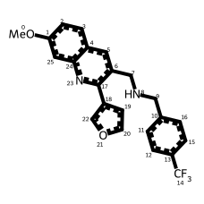 COc1ccc2cc(CNCc3ccc(C(F)(F)F)cc3)c(-c3ccoc3)nc2c1